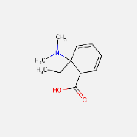 CCC1(N(C)C)C=CC=CC1C(=O)O